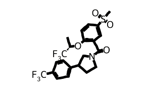 C[C@H](Oc1ccc(S(C)(=O)=O)cc1C(=O)N1CCC(c2ccc(C(F)(F)F)cc2)C1)C(F)(F)F